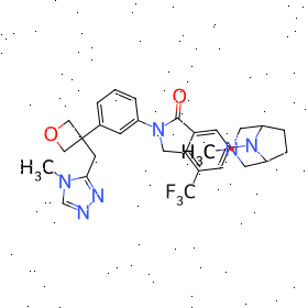 CN1CC2CCC(C1)N2c1cc2c(c(C(F)(F)F)c1)CN(c1cccc(C3(Cc4nncn4C)COC3)c1)C2=O